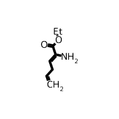 C=CCC=C(N)C(=O)OCC